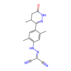 Cc1cc(C2=NNC(=O)CC2C)c(C)cc1NN=C(C#N)C#N